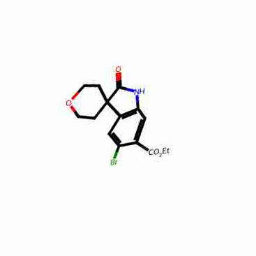 CCOC(=O)c1cc2c(cc1Br)C1(CCOCC1)C(=O)N2